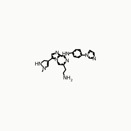 CN1C=C(c2cnc3c(Nc4ccc(-n5ccnc5)cc4)nc(CCN)cn23)CN1